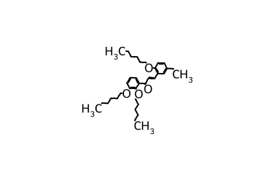 CCCCCCOc1ccc(CC)cc1C=CC(=O)c1cccc(OCCCCCC)c1OCCCCCC